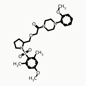 COc1cc(C)c(S(=O)(=O)N2CCCC2COCC(=O)N2CCN(c3ccccc3OC)CC2)c(C)c1